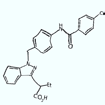 CCC(C(=O)O)c1nn(Cc2ccc(NC(=O)c3ccc(Cl)cc3)cc2)c2ccccc12